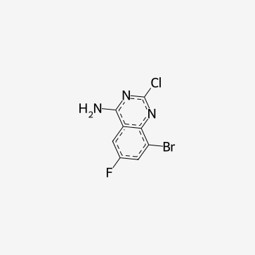 Nc1nc(Cl)nc2c(Br)cc(F)cc12